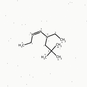 CC/N=N\N(CC)CC(C)(C)C